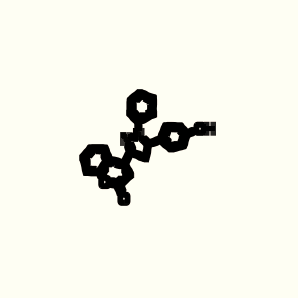 O=c1cc(C2=NN(c3ccccc3)C(c3ccc(O)cc3)C2)c2ccccc2o1